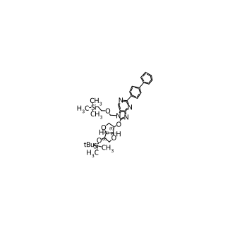 CC(C)(C)[Si](C)(C)O[C@@H]1CO[C@H]2[C@@H]1OC[C@H]2Oc1nc2nc(-c3ccc(-c4ccccc4)cc3)ncc2n1COCC[Si](C)(C)C